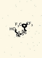 OCCc1nnc(Sc2nc(-c3cc(C(F)(F)F)cc(C(F)(F)F)c3)cs2)s1